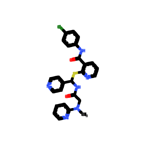 CN(CC(=O)NC(Sc1ncccc1C(=O)Nc1ccc(Cl)cc1)c1ccncc1)c1ccccn1